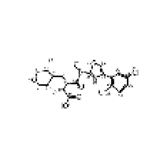 C[C@@H]1COC[C@H](C)C1C[C@H](CC(=O)O)C(=O)N(C)c1nc(-c2cc(Cl)ccc2Cl)cs1